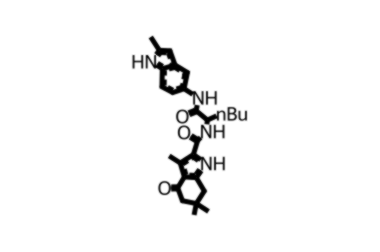 CCCCC(NC(=O)c1[nH]c2c(c1C)C(=O)CC(C)(C)C2)C(=O)Nc1ccc2[nH]c(C)cc2c1